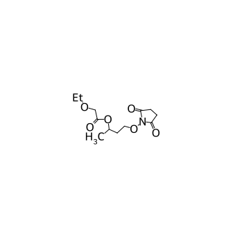 CCOCC(=O)OC(C)CCON1C(=O)CCC1=O